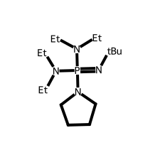 CCN(CC)P(=NC(C)(C)C)(N(CC)CC)N1CCCC1